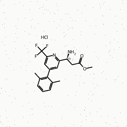 COC(=O)C[C@H](N)c1cc(-c2c(C)cccc2C)cc(C(F)(F)F)n1.Cl